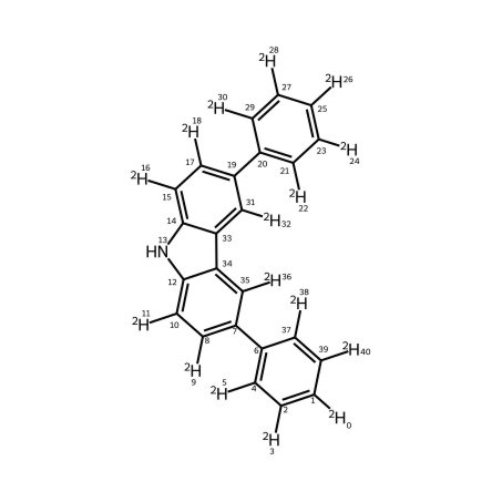 [2H]c1c([2H])c([2H])c(-c2c([2H])c([2H])c3[nH]c4c([2H])c([2H])c(-c5c([2H])c([2H])c([2H])c([2H])c5[2H])c([2H])c4c3c2[2H])c([2H])c1[2H]